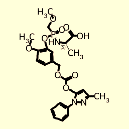 COCP(=O)(N[C@@H](C)C(=O)O)Oc1cc(COC(=O)Oc2cc(C)nn2-c2ccccc2)ccc1OC